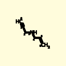 C#CCNCC=C